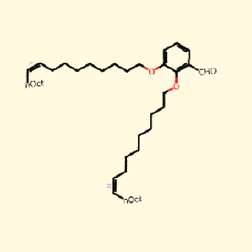 CCCCCCCC/C=C\CCCCCCCCOc1cccc(C=O)c1OCCCCCCCC/C=C\CCCCCCCC